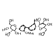 COc1cc([C@H]2O[C@H](CO)[C@@H](O)[C@H](O)[C@@H]2O)ccc1-c1ccc([C@H]2O[C@H](CO)[C@@H](O)[C@H](O)[C@@H]2O)c(C)c1